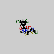 Cn1c2[n+](c([O-])c(-c3cc(Cl)cc(Cl)c3)c1=O)[C@@H](c1cnc(Cl)s1)CS2